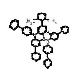 Cc1cccc(C)c1-c1cc2c3c(c1)N(c1ccc(-c4ccccc4)cc1)c1ccc(-c4ccccc4)cc1B3N(c1ccc(-c3ccccc3)cc1)c1ccc(-c3ccccc3)cc1-2